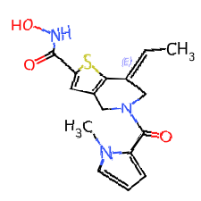 C/C=C1\CN(C(=O)c2cccn2C)Cc2cc(C(=O)NO)sc21